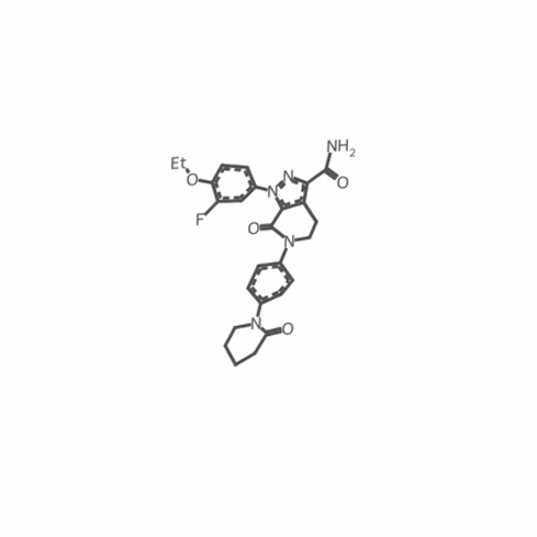 CCOc1ccc(-n2nc(C(N)=O)c3c2C(=O)N(c2ccc(N4CCCCC4=O)cc2)CC3)cc1F